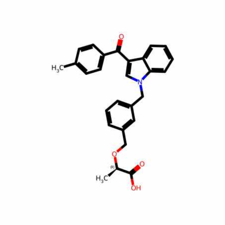 Cc1ccc(C(=O)c2cn(Cc3cccc(CO[C@H](C)C(=O)O)c3)c3ccccc23)cc1